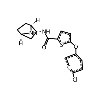 O=C(N[C@@H]1C[C@H]2CC[C@@H]1N2)c1ccc(Oc2ccc(Cl)cc2)s1